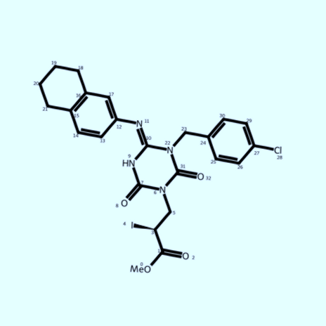 COC(=O)[C@@H](I)Cn1c(=O)[nH]/c(=N\c2ccc3c(c2)CCCC3)n(Cc2ccc(Cl)cc2)c1=O